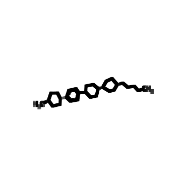 CCCCC[C@H]1CC[C@H](C2CCC(c3ccc([C@H]4CC[C@H](C)CC4)cc3)CC2)CC1